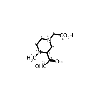 CN1CCN(CC(=O)O)CC1C(=O)C=O